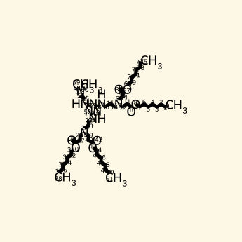 CCCCCCCCOC(=O)CCN(CCCNc1nc(NCCCN(CCC(=O)OCCCCCCCC)CCC(=O)OCCCCCCCC)nc(NCCN(CC)CC)n1)CCC(=O)OCCCCCCCC